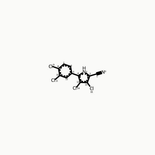 N#Cc1[nH]c(-c2ccc(Cl)c(Cl)c2)c(Cl)c1Cl